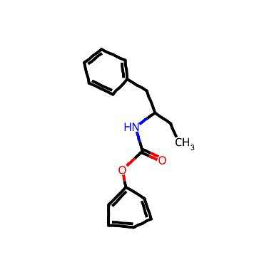 CCC(Cc1ccccc1)NC(=O)Oc1ccccc1